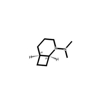 CN(C)N1CCC[C@@H]2CC[C@@H]21